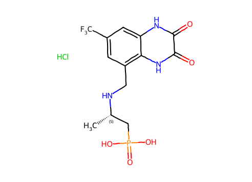 C[C@@H](CP(=O)(O)O)NCc1cc(C(F)(F)F)cc2[nH]c(=O)c(=O)[nH]c12.Cl